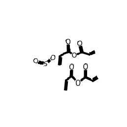 C=CC(=O)OC(=O)C=C.C=CC(=O)OC(=O)C=C.O=S=O